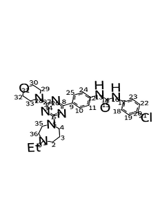 CCN1CCCN(c2nc(-c3ccc(NC(=O)Nc4ccc(Cl)cc4)cc3)nc(N3CCOCC3)n2)CC1